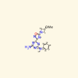 COC1CN(c2nc(-c3nc(N)nc(N(C)c4ccccc4)n3)no2)C1